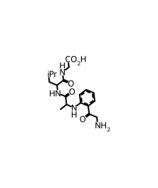 CC(C)CC(NC(=O)C(C)Nc1ccccc1C(=O)CN)C(=O)NCC(=O)O